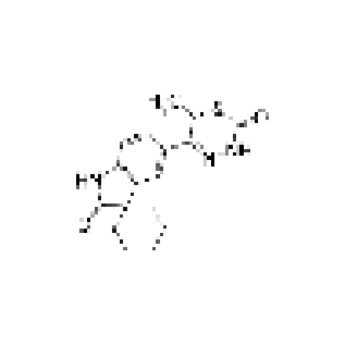 CC1SC(=O)NN=C1c1ccc2c(c1)C1(CCCCC1)C(=O)N2